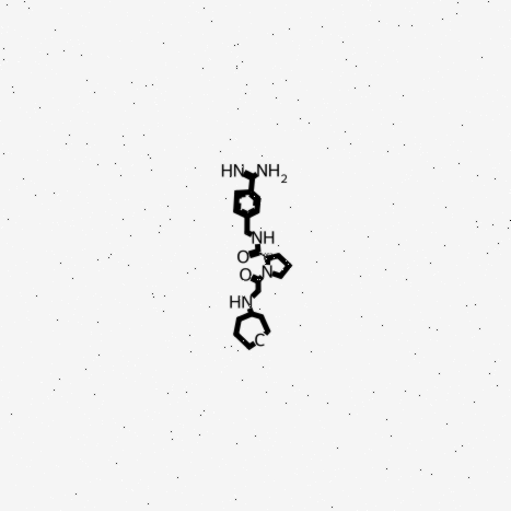 N=C(N)c1ccc(CNC(=O)[C@@H]2CCCN2C(=O)CNC2CCCCCC2)cc1